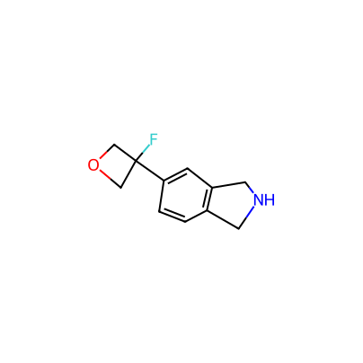 FC1(c2ccc3c(c2)CNC3)COC1